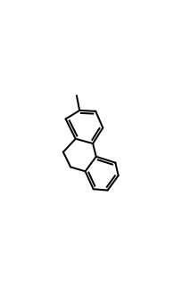 Cc1ccc2c(c1)CCc1ccccc1-2